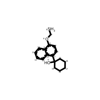 OC1(c2ccc(OC[SiH3])c3ccccc23)CCCCC1